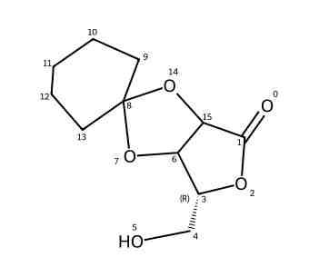 O=C1O[C@H](CO)C2OC3(CCCCC3)OC12